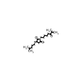 CC(C)CCCSC1CC(=O)N(CCCCCC(=O)C(C)C)C1=O